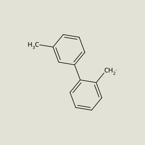 [CH2]c1ccccc1-c1cccc(C)c1